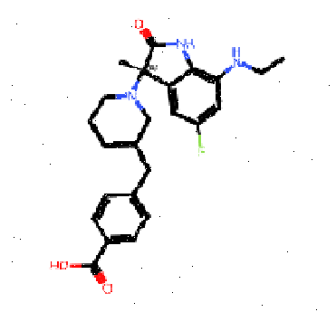 CCNc1cc(F)cc2c1NC(=O)[C@@]2(C)N1CCCC(Cc2ccc(C(=O)O)cc2)C1